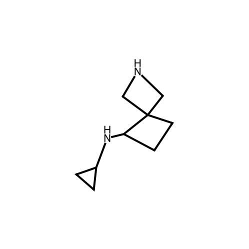 C1CC1NC1CCC12CNC2